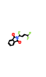 O=C1c2ccccc2C(=O)N1C(F)C=CC(F)F